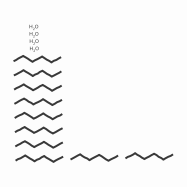 CCCCCC.CCCCCC.CCCCCC.CCCCCC.CCCCCC.CCCCCC.CCCCCC.CCCCCC.CCCCCC.CCCCCC.O.O.O.O